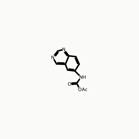 CC(=O)OC(=O)Nc1ccc2ncncc2c1